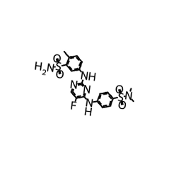 Cc1ccc(Nc2ncc(F)c(Nc3ccc(S(=O)(=O)N(C)C)cc3)n2)cc1S(N)(=O)=O